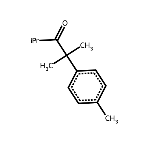 Cc1ccc(C(C)(C)C(=O)C(C)C)cc1